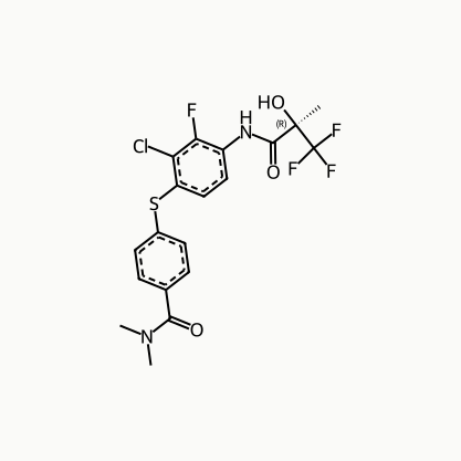 CN(C)C(=O)c1ccc(Sc2ccc(NC(=O)[C@@](C)(O)C(F)(F)F)c(F)c2Cl)cc1